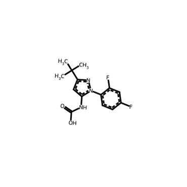 CC(C)(C)c1cc(NC(=O)O)n(-c2ccc(F)cc2F)n1